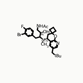 CC(=O)NC[C@@H](O)C(Cc1ccc(F)c(Br)c1)N(C)[C@H]1CC2(CCC2)Oc2ncc(CC(C)(C)C)cc21